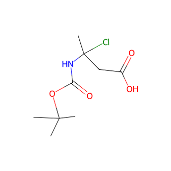 CC(Cl)(CC(=O)O)NC(=O)OC(C)(C)C